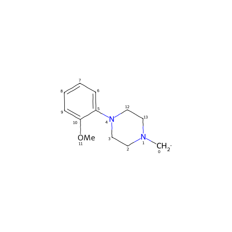 [CH2]N1CCN(c2ccccc2OC)CC1